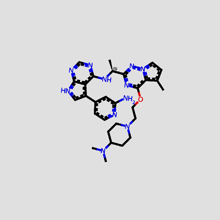 Cc1ccn2nc([C@H](C)Nc3ncnc4[nH]cc(-c5ccnc(N)c5)c34)nc(OCCN3CCC(N(C)C)CC3)c12